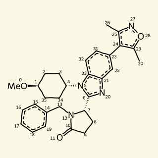 CO[C@H]1CC[C@H](n2c([C@@H]3CCC(=O)N3Cc3ccccc3)nc3cc(-c4c(C)noc4C)ccc32)CC1